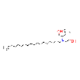 CCCCCCCCCCCCCCCCCN(CCO)C(CC)CO